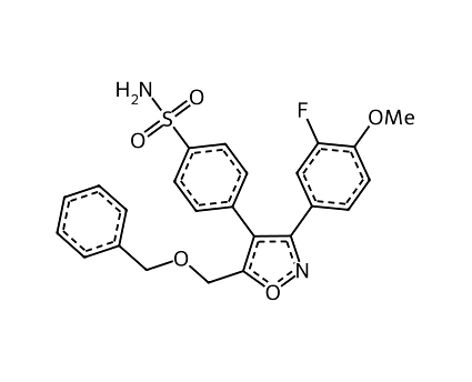 COc1ccc(-c2noc(COCc3ccccc3)c2-c2ccc(S(N)(=O)=O)cc2)cc1F